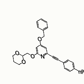 CCCc1ccc(C#Cc2cc(OCc3ccccc3)cc(OCC3OCCCO3)n2)cc1